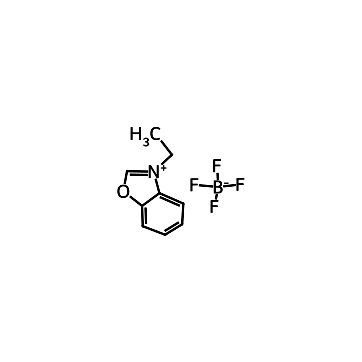 CC[n+]1coc2ccccc21.F[B-](F)(F)F